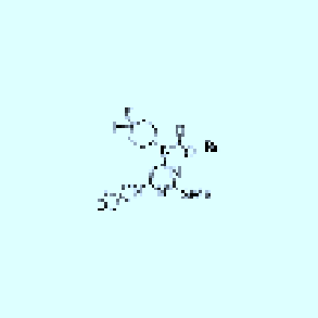 CSc1nc(N2CC3(COC3)C2)cc(N(C(=O)OC(C)(C)C)C2CCC(F)(F)CC2)n1